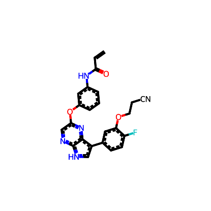 C=CC(=O)Nc1cccc(Oc2cnc3[nH]cc(-c4ccc(F)c(OCCC#N)c4)c3n2)c1